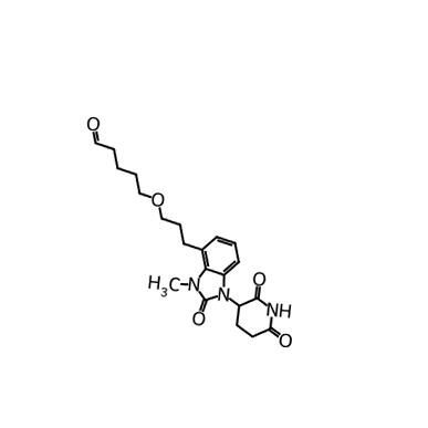 Cn1c(=O)n(C2CCC(=O)NC2=O)c2cccc(CCCOCCCCC=O)c21